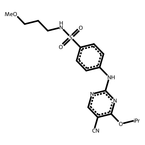 COCCCNS(=O)(=O)c1ccc(Nc2ncc(C#N)c(OC(C)C)n2)cc1